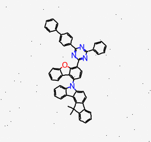 CC1(C)c2ccccc2-c2ccc3c(c21)c1ccccc1n3-c1ccc(-c2nc(-c3ccccc3)nc(-c3ccc(-c4ccccc4)cc3)n2)c2oc3ccccc3c12